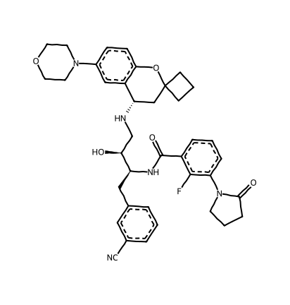 N#Cc1cccc(C[C@H](NC(=O)c2cccc(N3CCCC3=O)c2F)[C@@H](O)CN[C@H]2CC3(CCC3)Oc3ccc(N4CCOCC4)cc32)c1